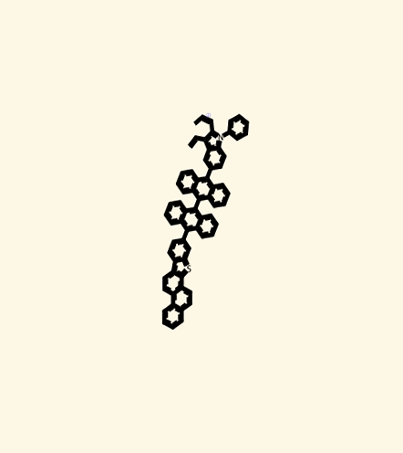 C=Cc1c(/C=C\C)n(-c2ccccc2)c2ccc(-c3c4ccccc4c(-c4c5ccccc5c(-c5ccc6c(c5)sc5c6ccc6c7ccccc7ccc65)c5ccccc45)c4ccccc34)cc12